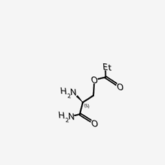 CCC(=O)OC[C@H](N)C(N)=O